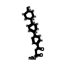 CCCCC(=O)CC(=O)c1ccc(-c2ccc(C3CCC(C)CC3)cc2)cc1